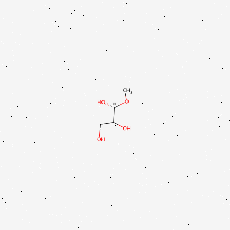 CO[C@@H](O)C(O)CO